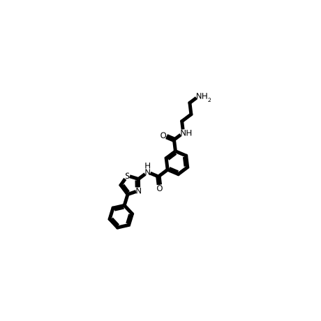 NCCCNC(=O)c1cccc(C(=O)Nc2nc(-c3ccccc3)cs2)c1